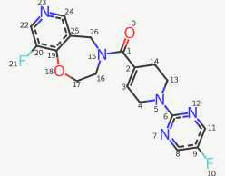 O=C(C1=CCN(c2ncc(F)cn2)CC1)N1CCOc2c(F)cncc2C1